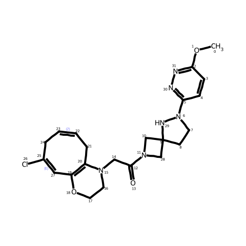 COc1ccc(N2CCC3(CN(C(=O)CN4CCOC5=C4C/C=C\C/C(Cl)=C\5)C3)N2)nn1